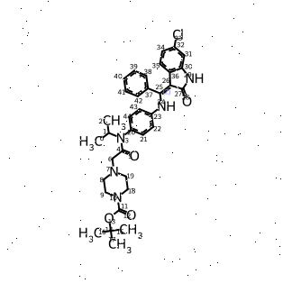 CC(C)N(C(=O)CN1CCN(C(=O)OC(C)(C)C)CC1)c1ccc(N/C(=C2\C(=O)Nc3cc(Cl)ccc32)c2ccccc2)cc1